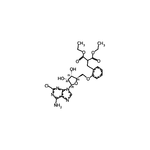 CCOC(=O)C(Cc1ccccc1OC[C@H]1O[C@@H](n2cnc3c(N)nc(Cl)nc32)[C@H](O)[C@@H]1O)C(=O)OCC